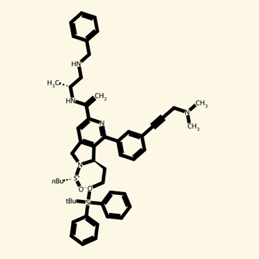 C=C(N[C@H](C)CNCc1ccccc1)c1cc2c(c(-c3cccc(C#CCN(C)C)c3)n1)[C@@H](CCO[Si](c1ccccc1)(c1ccccc1)C(C)(C)C)N([S@+]([O-])CCCC)C2